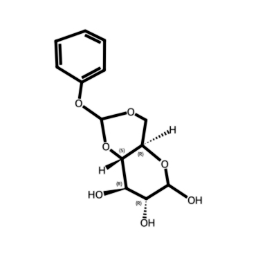 OC1O[C@@H]2COC(Oc3ccccc3)O[C@H]2[C@H](O)[C@H]1O